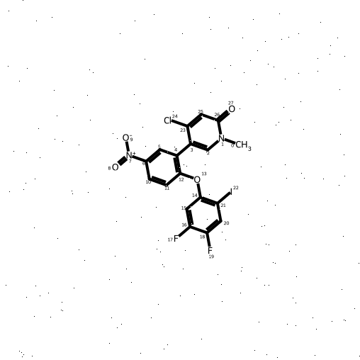 Cn1cc(-c2cc([N+](=O)[O-])ccc2Oc2cc(F)c(F)cc2I)c(Cl)cc1=O